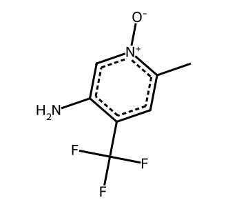 Cc1cc(C(F)(F)F)c(N)c[n+]1[O-]